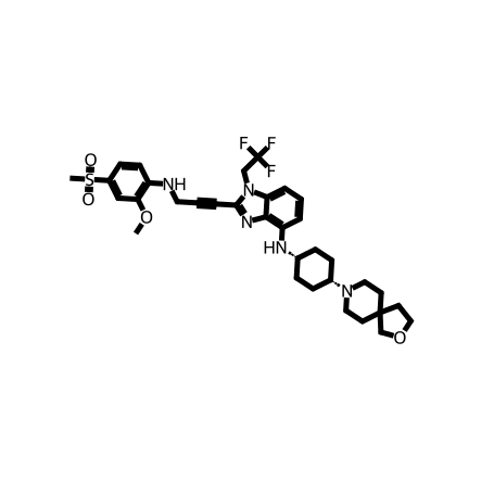 COc1cc(S(C)(=O)=O)ccc1NCC#Cc1nc2c(N[C@H]3CC[C@@H](N4CCC5(CCOC5)CC4)CC3)cccc2n1CC(F)(F)F